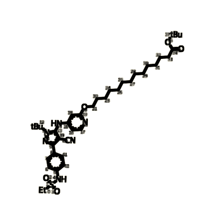 CCS(=O)(=O)Nc1ccc(-c2nn(C(C)(C)C)c(Nc3ccnc(OCCCCCCCCCCCCCC(=O)OC(C)(C)C)c3)c2C#N)cc1